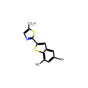 CC(C)c1cc(C#N)c2sc(-c3ncc(C(=O)O)s3)cc2c1